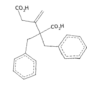 C=C(CC(=O)O)C(Cc1ccccc1)(Cc1ccccc1)C(=O)O